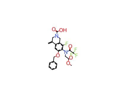 C=C1CN(C(=O)O)Cc2c1cc(OCc1ccccc1)c(N(CC(=O)OC)C(=O)C(F)(F)F)c2F